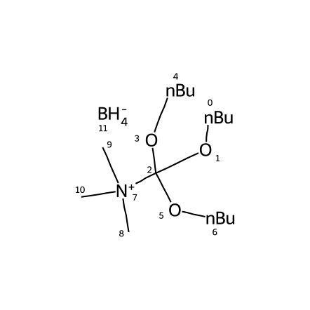 CCCCOC(OCCCC)(OCCCC)[N+](C)(C)C.[BH4-]